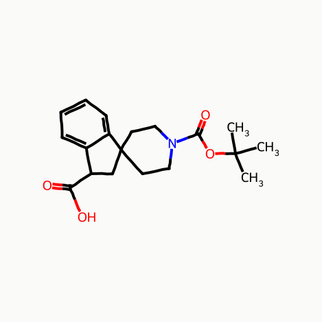 CC(C)(C)OC(=O)N1CCC2(CC1)CC(C(=O)O)c1ccccc12